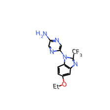 CCOc1ccc2c(c1)nc(C(F)(F)F)n2-c1cnc(N)cn1